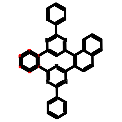 c1ccc(-c2cc(-c3c(-c4nc(-c5ccccc5)nc(-c5ccccc5)n4)ccc4ccccc34)nc(-c3ccccc3)n2)cc1